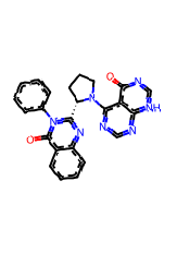 O=c1nc[nH]c2ncnc(N3CCC[C@H]3c3nc4ccccc4c(=O)n3-c3ccccc3)c12